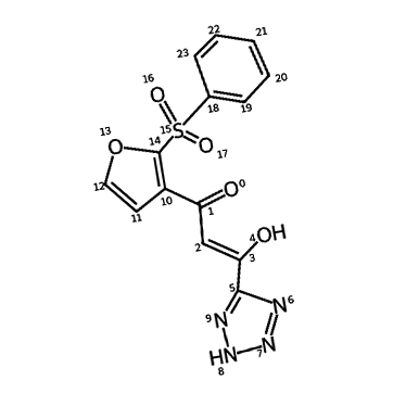 O=C(C=C(O)c1nn[nH]n1)c1ccoc1S(=O)(=O)c1ccccc1